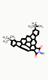 CC(C)n1c(=O)c2c3cc4c5ccc([Si](C)(C)C)cc5c5cc6cc7c8cc([Si](C)(C)C)ccc8c8cc(c2c1=O)c1c3c(c54)c6c1c78